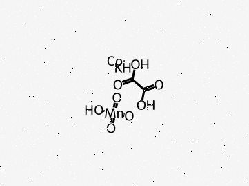 O=C(O)C(=O)O.[Co].[KH].[O]=[Mn](=[O])(=[O])[OH]